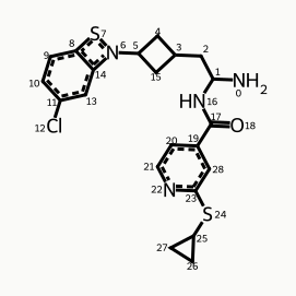 NC(CC1CC(n2sc3ccc(Cl)cc32)C1)NC(=O)c1ccnc(SC2CC2)c1